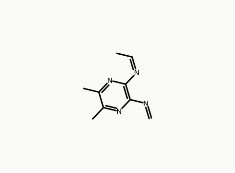 C=Nc1nc(C)c(C)nc1/N=C\C